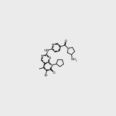 Cc1c(Br)c(=O)n(C2CCCC2)c2nc(Nc3ccc(C(=O)N4CCC(N)C4)cn3)ncc12